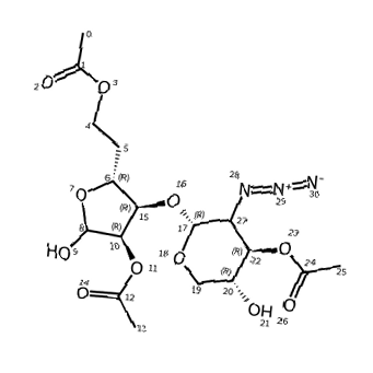 CC(=O)OCC[C@H]1OC(O)[C@H](OC(C)=O)[C@@H]1O[C@H]1OC[C@@H](O)[C@H](OC(C)=O)C1N=[N+]=[N-]